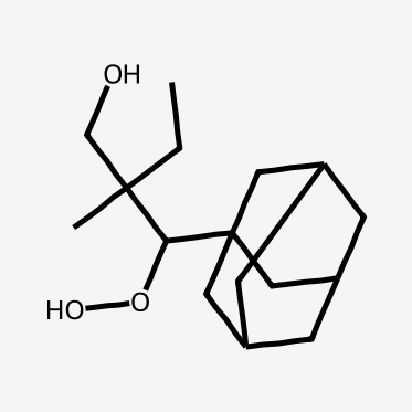 CCC(C)(CO)C(OO)C12CC3CC(CC(C3)C1)C2